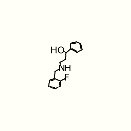 OC(CCNCc1ccccc1F)c1ccccc1